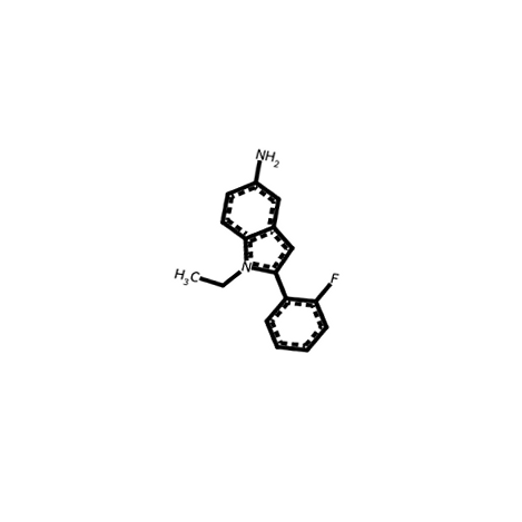 CCn1c(-c2ccccc2F)cc2cc(N)ccc21